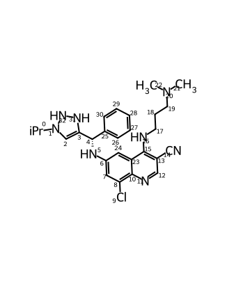 CC(C)N1C=C([C@@H](Nc2cc(Cl)c3ncc(C#N)c(NCCCN(C)C)c3c2)c2ccccc2)NN1